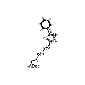 CCCCCCCCCCCCSSSSc1nnc(-c2ccccc2)s1